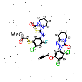 C#CCOc1cc(-n2nc3n(c2=O)CCCC3)c(Cl)cc1Cl.COC(=O)CSc1cc(/N=c2\sc(=O)n3n2CCCC3)c(F)cc1Cl